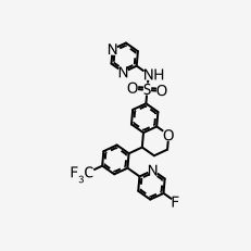 O=S(=O)(Nc1ccncn1)c1ccc2c(c1)OCCC2c1ccc(C(F)(F)F)cc1-c1ccc(F)cn1